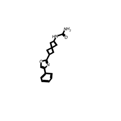 NC(=O)NC1CC2(C1)CC(c1nc(-c3ccccc3)co1)C2